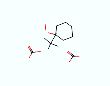 CC(C)(C)C1(OO)CCCCC1.O=C(O)O.O=C(O)O